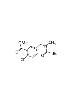 COC(=O)c1cc(CN(C)C(=O)C(C)(C)C)ccc1Cl